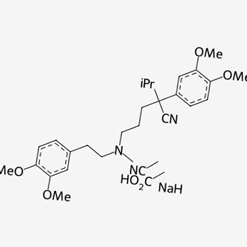 CC#N.CC(=O)O.COc1ccc(CCN(C)CCCC(C#N)(c2ccc(OC)c(OC)c2)C(C)C)cc1OC.[NaH]